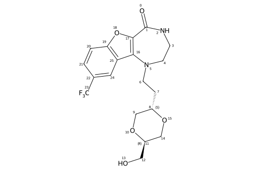 O=C1NCCN(CC[C@H]2CO[C@H](CO)CO2)c2c1oc1ccc(C(F)(F)F)cc21